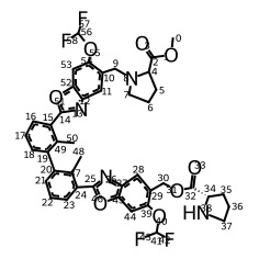 COC(=O)C1CCCN1Cc1cc2nc(-c3cccc(-c4cccc(-c5nc6cc(COC(=O)[C@@H]7CCCN7)c(OC(F)F)cc6o5)c4C)c3C)oc2cc1OC(F)F